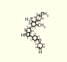 Cc1cc(-c2cnc3[nH]cc(-c4ccc(OC5CCNCC5)cc4)c3c2)cc(C)c1N1CCN(C)CC1